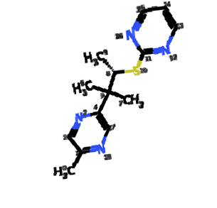 Cc1cnc(C(C)(C)[C@H](C)Sc2ncccn2)cn1